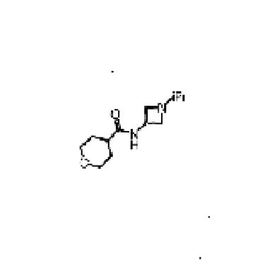 CC(C)N1CC(NC(=O)C2CCOCC2)C1